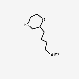 CCCCCCCCCCC1CNCCO1